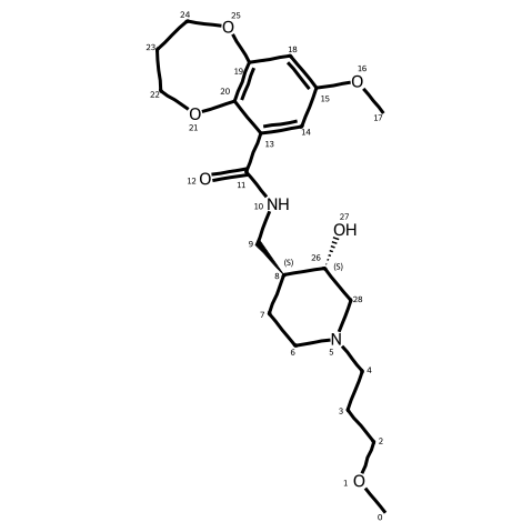 COCCCN1CC[C@@H](CNC(=O)c2cc(OC)cc3c2OCCCO3)[C@H](O)C1